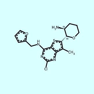 Cc1c([C@H]2OCCC[C@@H]2N)sc2c(NCc3ccco3)nc(Cl)nc12